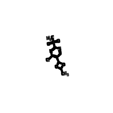 CC1OC(c2cnc(S(C)(=O)=O)nc2Cl)O1